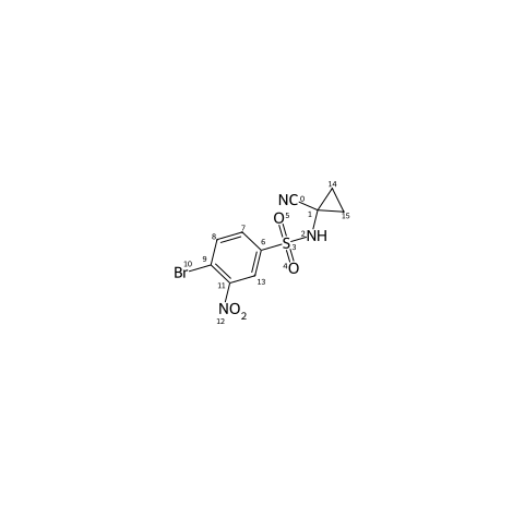 N#CC1(NS(=O)(=O)c2ccc(Br)c([N+](=O)[O-])c2)CC1